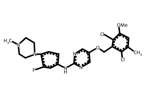 COc1cc(C)c(Cl)c(COc2cnc(Nc3ccc(N4CCN(C)CC4)c(F)c3)nc2)c1Cl